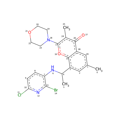 Cc1cc(C(C)Nc2ccc(Cl)nc2Br)c2oc(N3CCOCC3)c(C)c(=O)c2c1